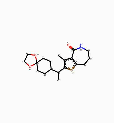 Cc1c(C(C)C2CCC3(CC2)OCCO3)sc2c1C(=O)NCCC2